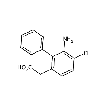 Nc1c(Cl)ccc(CC(=O)O)c1-c1ccccc1